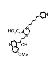 COc1ccc2nccc(C(O)CC[C@@H]3CCN(CCCCCc4ccncc4)C[C@@H]3CC(=O)O)c2c1